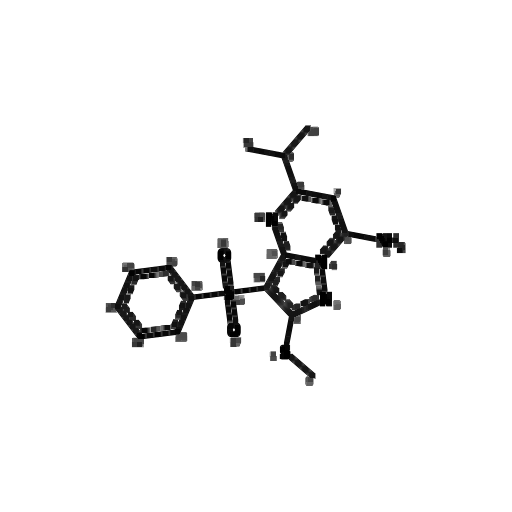 CSc1nn2c(N)cc(C(C)C)nc2c1S(=O)(=O)c1ccccc1